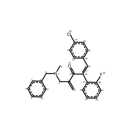 C=C(CN(C)Cc1ccccc1)C(=O)/C(=C\c1ccc(Cl)cc1)c1ccccc1F